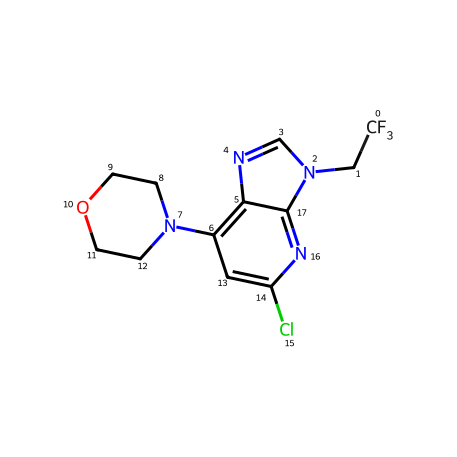 FC(F)(F)Cn1cnc2c(N3CCOCC3)cc(Cl)nc21